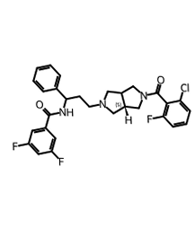 O=C(NC(CCN1CC2CN(C(=O)c3c(F)cccc3Cl)C[C@@H]2C1)c1ccccc1)c1cc(F)cc(F)c1